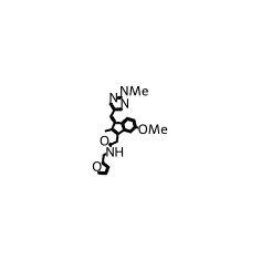 CNc1ncc(/C=C2/C(C)=C(CC(=O)NCc3ccco3)c3cc(OC)ccc32)cn1